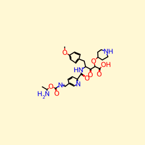 COc1ccc(CC(NC(=O)c2ccc(/C=N/C(=O)OC(C)N)cn2)C(=O)C(OC2CCNCC2)C(=O)O)cc1